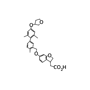 Cc1ccc(-c2c(C)cc(OC3CCOC3)cc2C)cc1COc1ccc2c(c1)OCC2CC(=O)O